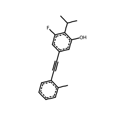 Cc1ccccc1C#Cc1cc(O)c(C(C)C)c(F)c1